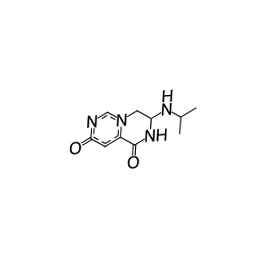 CC(C)NC1Cn2cnc(=O)cc2C(=O)N1